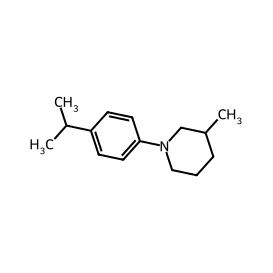 CC1CCCN(c2ccc(C(C)C)cc2)C1